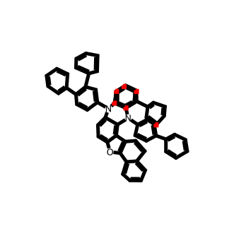 c1ccc(-c2ccc(N(c3ccccc3-c3ccccc3)c3c(N(c4ccccc4)c4ccc(-c5ccccc5)c(-c5ccccc5)c4)ccc4oc5c6ccccc6ccc5c34)cc2)cc1